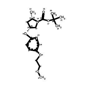 COCCOc1ccc(O[C@@H]2C[C@H](C)N(C(=O)OC(C)(C)C)C2)nc1